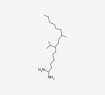 CCCCCCC(C)CCC(CCCCCC(N)N)C(C)C